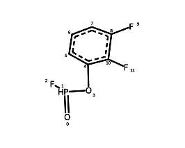 O=[PH](F)Oc1cccc(F)c1F